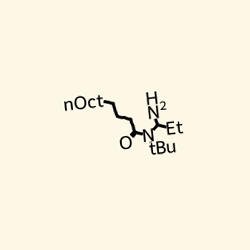 CCCCCCCCCCCC(=O)N(C(N)CC)C(C)(C)C